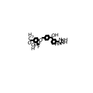 CC(=O)c1ccc(OCc2ccc(C(O)c3cccc(C4=NNNN4)c3)cc2)c(C(F)(F)F)c1O